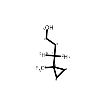 [2H]C([2H])(CCO)C1(C(F)(F)F)CC1